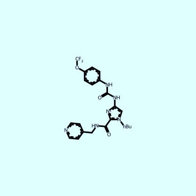 CCCCn1cc(NC(=O)Nc2ccc(OC(F)(F)F)cc2)nc1C(=O)NCc1ccncc1